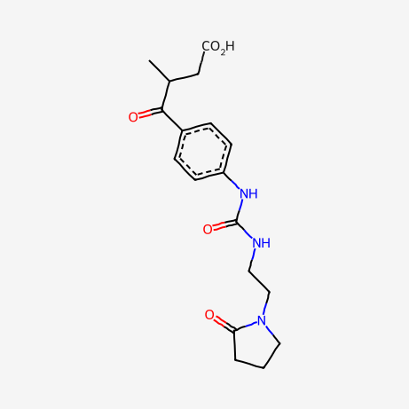 CC(CC(=O)O)C(=O)c1ccc(NC(=O)NCCN2CCCC2=O)cc1